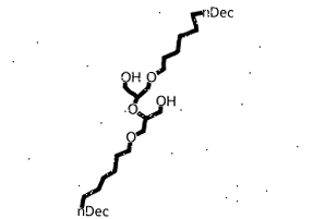 CCCCCCCCCCCCCCCCOCC(CO)OC(CO)COCCCCCCCCCCCCCCCC